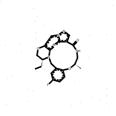 CC[C@@H]1COc2cn3ncc4c3nc2N1Cc1cc(F)ccc1O[C@@H](C)CNC4=O